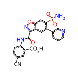 N#Cc1ccc(NC(=O)c2noc3cc(S(N)(=O)=O)c(-c4cccnc4)cc23)c(C(=O)O)c1